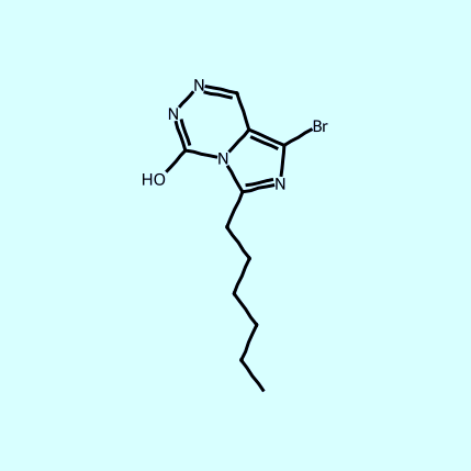 CCCCCCc1nc(Br)c2cnnc(O)n12